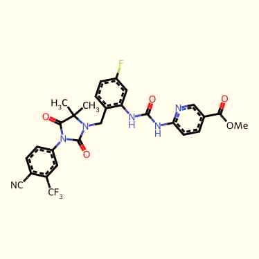 COC(=O)c1ccc(NC(=O)Nc2cc(F)ccc2CN2C(=O)N(c3ccc(C#N)c(C(F)(F)F)c3)C(=O)C2(C)C)nc1